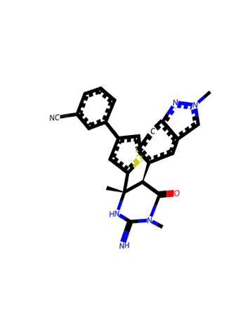 CN1C(=N)N[C@](C)(c2cc(-c3cccc(C#N)c3)cs2)[C@@H](c2ccc3nn(C)cc3c2)C1=O